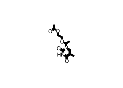 CC(=O)OCCOC(C)n1cc(C)c(=O)[nH]c1=O